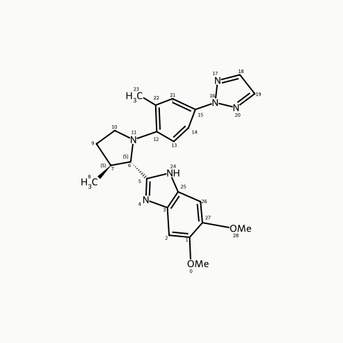 COc1cc2nc([C@@H]3[C@@H](C)CCN3c3ccc(-n4nccn4)[c]c3C)[nH]c2cc1OC